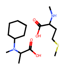 CC(C(=O)O)N(C)C1CCCCC1.CNC(CCSC)C(=O)O